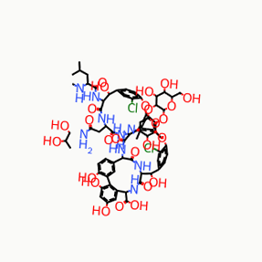 CC(O)CO.CNC(CC(C)C)C(=O)NC1C(=O)NC(CC(N)=O)C(=O)NC2C(=O)NC3C(=O)NC(C(=O)NC(C(=O)O)c4cc(O)cc(O)c4-c4cc3ccc4O)C(O)c3ccc(c(Cl)c3)Oc3cc2cc(c3OC2OC(CO)C(O)C(O)C2OC2CC(C)(N)C(O)C(C)O2)Oc2ccc(cc2Cl)C1O